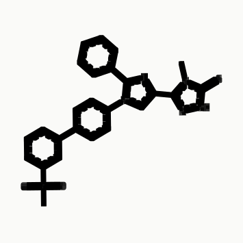 Cn1c(-c2cn(-c3ccc(-c4cccc(S(C)(=O)=O)c4)cc3)c(-c3ccccc3)n2)n[nH]c1=S